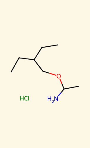 CCC(CC)COC(C)N.Cl